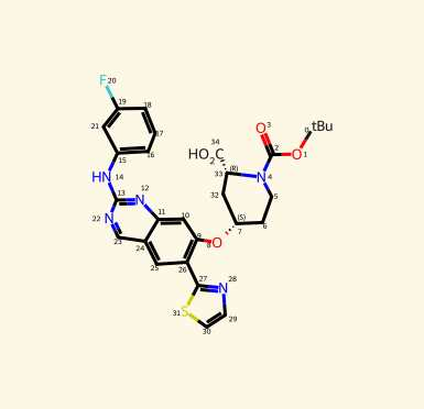 CC(C)(C)OC(=O)N1CC[C@H](Oc2cc3nc(Nc4cccc(F)c4)ncc3cc2-c2nccs2)C[C@@H]1C(=O)O